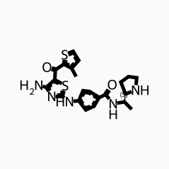 Cc1ccsc1C(=O)c1sc(Nc2ccc(C(=O)NC(C)[C@@H]3CCCN3)cc2)nc1N